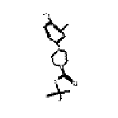 Cc1cc(N2CCN(C(=O)OC(C)(C)C)CC2)ccc1O